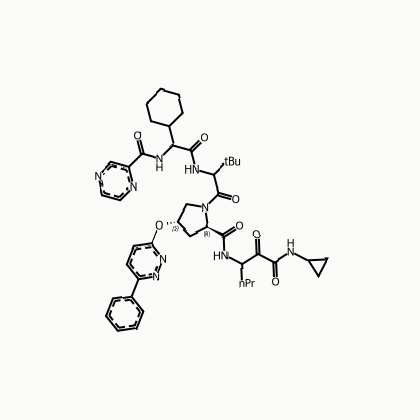 CCCC(NC(=O)[C@H]1C[C@H](Oc2ccc(-c3ccccc3)nn2)CN1C(=O)C(NC(=O)C(NC(=O)c1cnccn1)C1CCCCC1)C(C)(C)C)C(=O)C(=O)NC1CC1